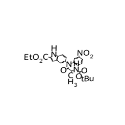 CCOC(=O)c1cc2cc(N(C(=O)C(C)NC(=O)OC(C)(C)C)c3cccc([N+](=O)[O-])c3)ccc2[nH]1